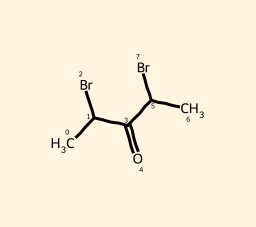 CC(Br)C(=O)C(C)Br